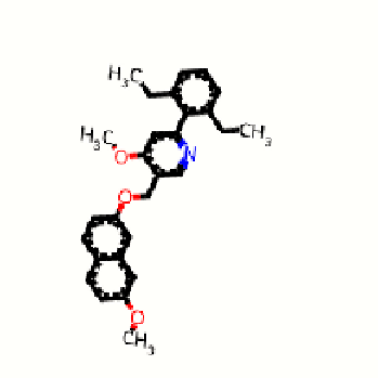 CCc1cccc(CC)c1-c1cc(OC)c(COc2ccc3ccc(OC)cc3c2)cn1